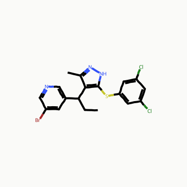 CCC(c1cncc(Br)c1)c1c(C)n[nH]c1Sc1cc(Cl)cc(Cl)c1